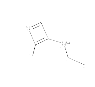 CCNC1=C(C)N=C1